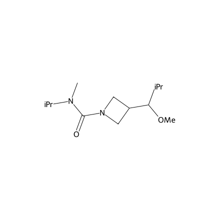 COC(C(C)C)C1CN(C(=O)N(C)C(C)C)C1